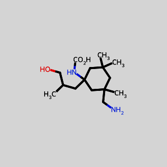 CC(CO)CC1(NC(=O)O)CC(C)(C)CC(C)(CN)C1